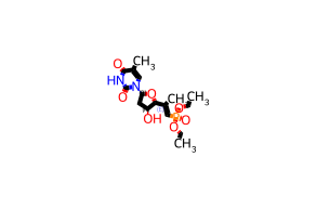 CCOP(=O)(/C=C(\C)C1O[C@@H](n2cc(C)c(=O)[nH]c2=O)C[C@H]1O)OCC